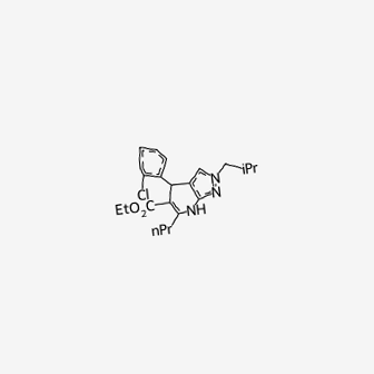 CCCC1=C(C(=O)OCC)C(c2ccccc2Cl)c2cn(CC(C)C)nc2N1